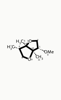 CO[C@H]1CO[C@]2(C)[C@@H](C)CO[C@]12C